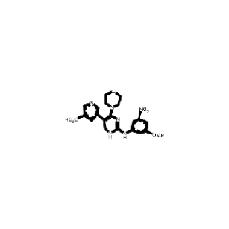 COc1cc(NC2=NC(N3CCOCC3)=C(c3cncc(C(=O)O)c3)CN2)cc([N+](=O)[O-])c1